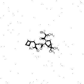 CC(=O)C(=O)C(CC1CCC1)NC(=O)[C@@H]1C2C(CN1C(=O)C(C)C(C)(C)C)C2(C)C